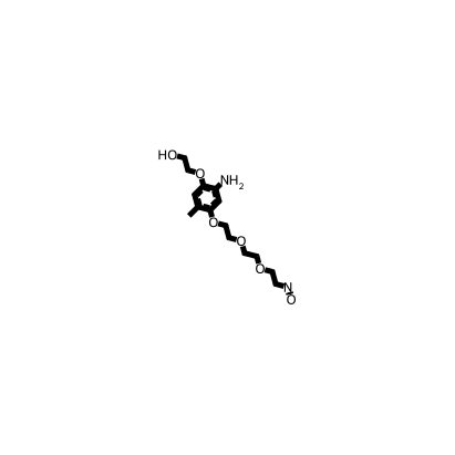 Cc1cc(OCCO)c(N)cc1OCCOCCOCCN=O